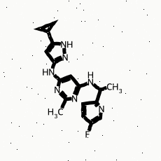 Cc1nc(Nc2cc(C3CC3)[nH]n2)cc(NC(C)c2ccc(F)cn2)n1